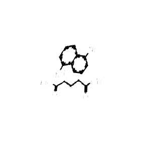 Nc1cccc2c(N)cccc12.O=C(O)CCCC(=O)O